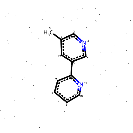 Cc1[c]ncc(-c2ccc[c]n2)c1